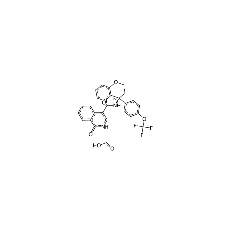 O=C(N[C@]1(c2ccc(OC(F)(F)F)cc2)CCOc2cccnc21)c1c[nH]c(=O)c2ccccc12.O=CO